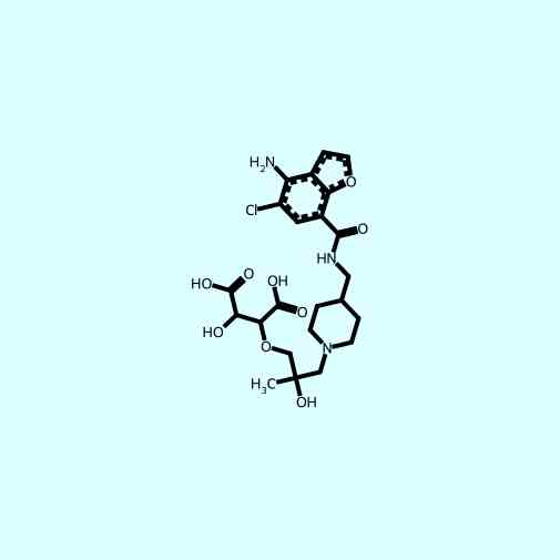 CC(O)(COC(C(=O)O)C(O)C(=O)O)CN1CCC(CNC(=O)c2cc(Cl)c(N)c3ccoc23)CC1